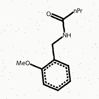 CCCC(=O)NCc1ccccc1OC